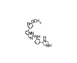 COc1ccc(-c2ccc3cnc(Nc4cccc(C5CNCCN5)c4)nn23)cn1